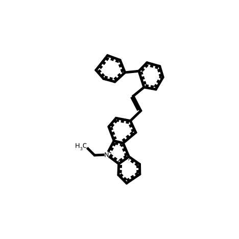 CCn1c2ccccc2c2cc(/C=C/c3ccccc3-c3ccccc3)ccc21